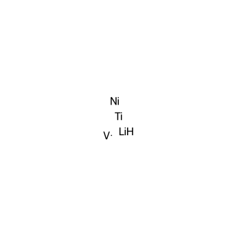 [LiH].[Ni].[Ti].[V]